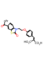 CCCC(=O)c1ccc2c(c1)sc(=O)n2CCOc1ccc(C=C(C(=O)O)C(=O)O)cc1